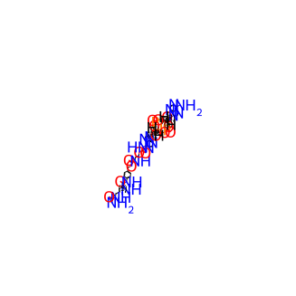 CN[C@@H](CCCNC(N)=O)C(=O)Nc1ccc(COC(=O)NCCOC(=O)Nc2ncnc3c2ncn3[C@H]2C[C@@H]3O[PH](=O)OC[C@H]4O[C@@H](n5cnc6c(N)ncnc65)C[C@@H]4O[PH](=O)OC[C@H]3O2)cc1